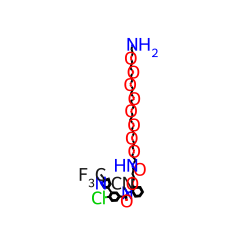 CN(C(=O)c1ccc(Cl)c(-c2cnc(C(F)(F)F)cc2C#N)c1)c1ccccc1OCCC(=O)NCCOCCOCCOCCOCCOCCOCCOCCOCCN